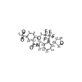 CS(=O)(=O)c1ccc(OCC(F)(F)C(F)(F)F)c(C(=O)N2Cc3ccc(C4CCOC4)cc3C2)c1